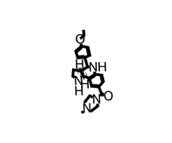 CCOc1ccc(C2Nc3ccc(C(=O)N4CCN(C)CC4)cc3[C@H]3NCC[C@@H]23)cc1